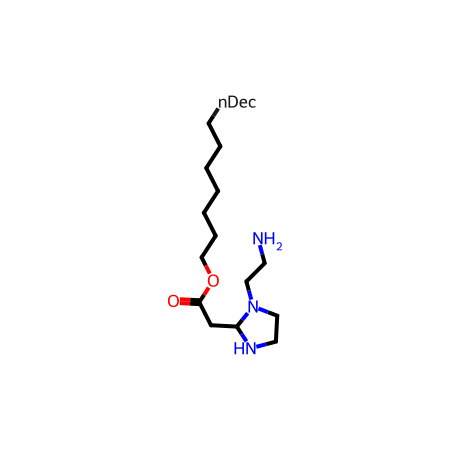 CCCCCCCCCCCCCCCCCOC(=O)CC1NCCN1CCN